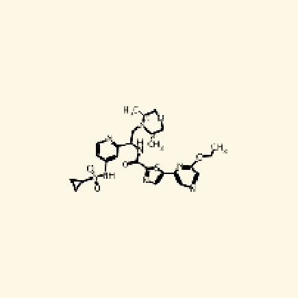 CCOc1cncc(-c2cnc(C(=O)NC(CN3[C@H](C)COC[C@@H]3C)c3cc(NS(=O)(=O)C4CC4)ccn3)s2)n1